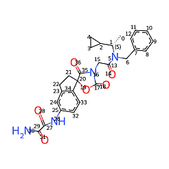 C[C@@H](C1CC1)N(Cc1ccccc1)C(=O)CN1C(=O)OC2(CCc3cc(NC(=O)C(N)=O)ccc32)C1=O